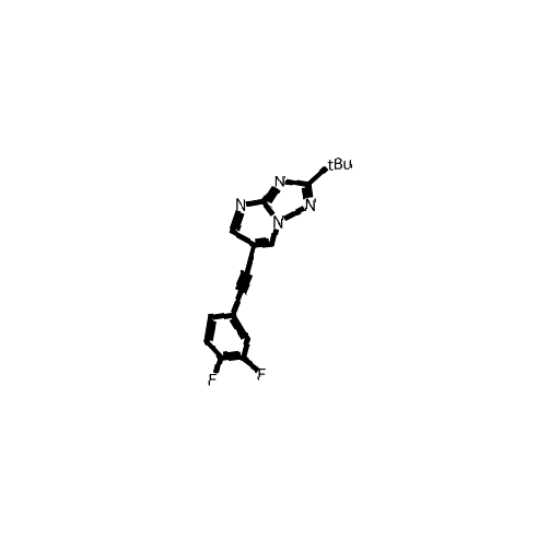 CC(C)(C)c1nc2ncc(C#Cc3ccc(F)c(F)c3)cn2n1